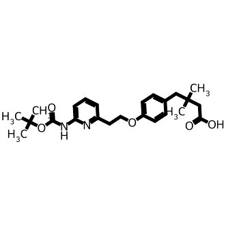 CC(C)(CC(=O)O)Cc1ccc(OCCc2cccc(NC(=O)OC(C)(C)C)n2)cc1